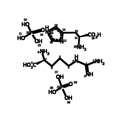 N=C(N)NCCC[C@H](N)C(=O)O.N[C@@H](Cc1c[nH]cn1)C(=O)O.O=P(O)(O)O.O=P(O)(O)O